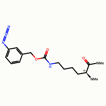 CNC(=O)[C@H](CCCCNC(=O)OCc1cccc(N=[N+]=[N-])c1)NC